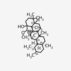 COC(=O)C1(O)CCC(C)(C)[C@@H]2CC[C@]3(C)[C@H](CC[C@@H]4[C@@H]5[C@@H](C)[C@H](C)CC[C@]5(C)CC[C@]43C)[C@]21C